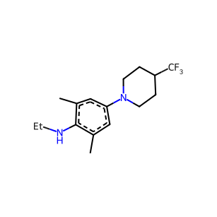 CCNc1c(C)cc(N2CCC(C(F)(F)F)CC2)cc1C